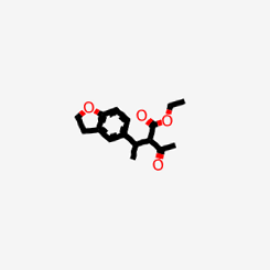 CCOC(=O)C(C(C)=O)C(C)c1ccc2c(c1)CCO2